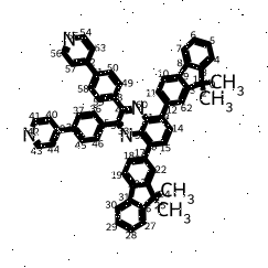 CC1(C)c2ccccc2-c2ccc(-c3ccc(-c4ccc5c(c4)C(C)(C)c4ccccc4-5)c4nc(-c5ccc(-c6ccncc6)cc5)c(-c5ccc(-c6ccncc6)cc5)nc34)cc21